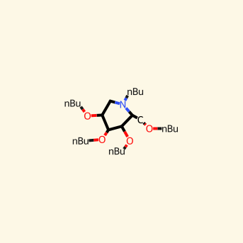 CCCCOCC1C(OCCCC)C(OCCCC)C(OCCCC)CN1CCCC